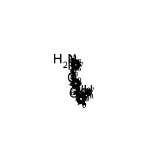 Cc1ccc(C(=O)Nc2ccc(OCCc3cccc(N)n3)cc2)c(OC(C)C)c1